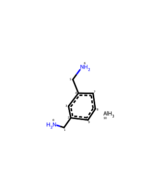 NCc1[c]c(CN)ccc1.[AlH3]